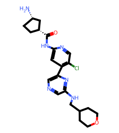 N[C@H]1CC[C@@H](C(=O)Nc2cc(-c3cncc(NCC4CCOCC4)n3)c(Cl)cn2)C1